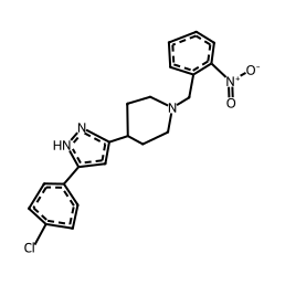 O=[N+]([O-])c1ccccc1CN1CCC(c2cc(-c3ccc(Cl)cc3)[nH]n2)CC1